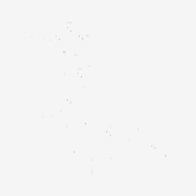 C[C@@H]1CN(C(=O)c2ccc3c(Cl)cc(-c4ccn(C)c4)nc3c2)CCN1C(=O)c1cn(C2CC2)nn1